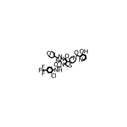 C[C@H]1SC2(CCN(C(=O)c3ncccc3O)CC2)c2c1n(CC(=O)Nc1ccc(C(F)(F)F)cc1Cl)c1nc(C3=CCOCC3)nn1c2=O